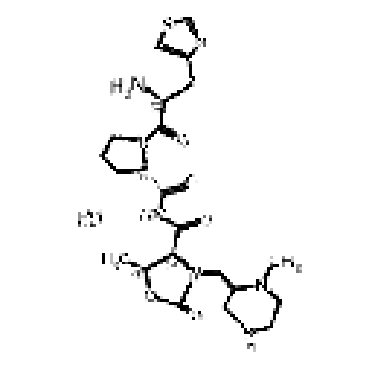 C[C@@H]1OC(=O)N(CC2CNCCN2C)[C@@H]1C(=O)NC(=O)[C@@H]1CCCN1C(=O)[C@@H](N)Cc1cscn1.Cl